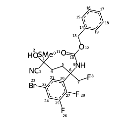 CSC(O)(C#N)CCC(CF)(NC(=O)OCc1ccccc1)c1cc(Br)cc(F)c1F